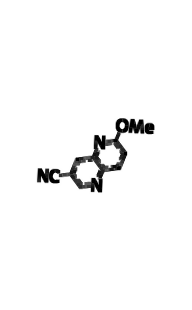 COc1ccc2ncc(C#N)cc2n1